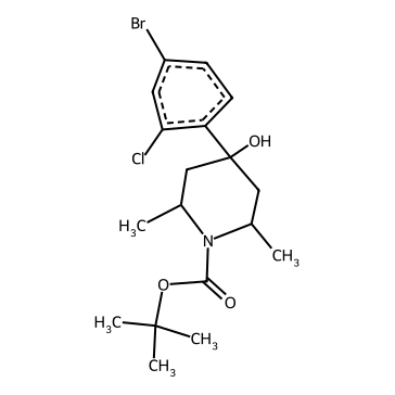 CC1CC(O)(c2ccc(Br)cc2Cl)CC(C)N1C(=O)OC(C)(C)C